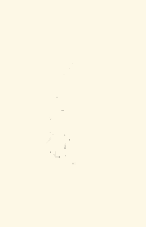 CCCCCCCCCCCCc1c[nH]c(C)n1